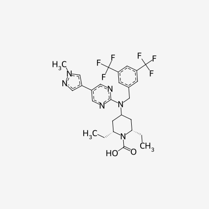 CC[C@@H]1CC(N(Cc2cc(C(F)(F)F)cc(C(F)(F)F)c2)c2ncc(-c3cnn(C)c3)cn2)C[C@H](CC)N1C(=O)O